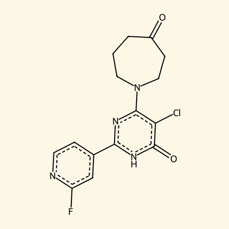 O=C1CCCN(c2nc(-c3ccnc(F)c3)[nH]c(=O)c2Cl)CC1